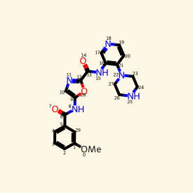 COc1cccc(C(=O)Nc2cnc(C(=O)Nc3cnccc3N3CCNCC3)o2)c1